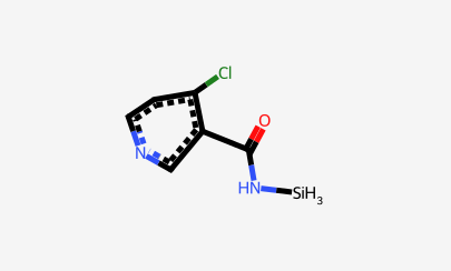 O=C(N[SiH3])c1cnccc1Cl